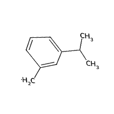 [CH2]c1cccc(C(C)C)c1